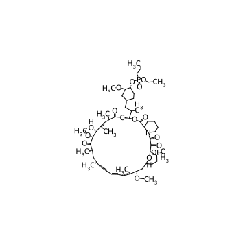 CCCP(=O)(OCC)O[C@@H]1CC[C@@H](C[C@@H](C)[C@@H]2CC(=O)[C@H](C)/C=C(\C)[C@@H](O)[C@@H](OC)C(=O)[C@H](C)C[C@H](C)/C=C/C=C/C=C(\C)[C@@H](OC)C[C@@H]3CC[C@@H](C)C(O)(O3)C(=O)C(=O)N3CCCCC3C(=O)O2)C[C@H]1OC